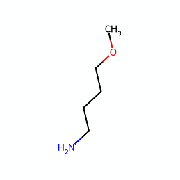 COCCC[CH]N